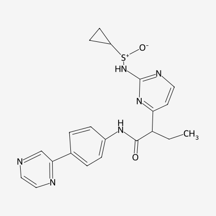 CCC(C(=O)Nc1ccc(-c2cnccn2)cc1)c1ccnc(N[S+]([O-])C2CC2)n1